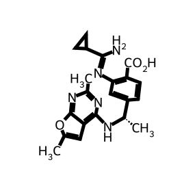 Cc1nc(N[C@@H](C)c2ccc(C(=O)O)c(/N=C(\N)C3CC3)c2)c2cc(C)oc2n1